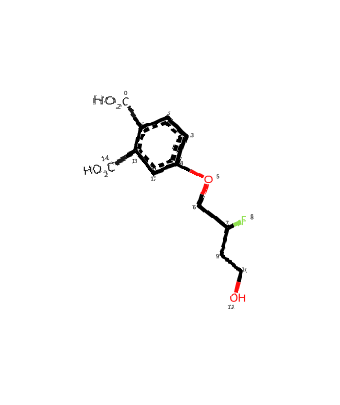 O=C(O)c1ccc(OCC(F)CCO)cc1C(=O)O